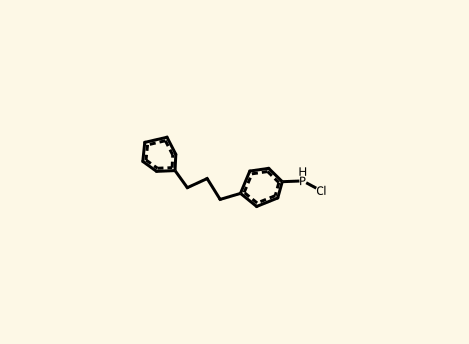 ClPc1ccc(CCCc2ccccc2)cc1